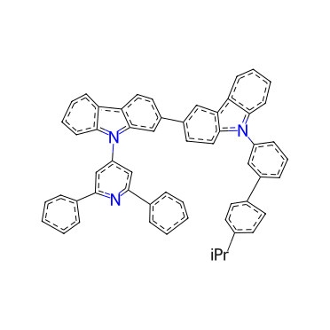 CC(C)c1ccc(-c2cccc(-n3c4ccccc4c4cc(-c5ccc6c7ccccc7n(-c7cc(-c8ccccc8)nc(-c8ccccc8)c7)c6c5)ccc43)c2)cc1